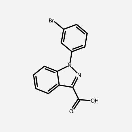 O=C(O)c1nn(-c2cccc(Br)c2)c2ccccc12